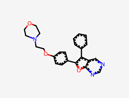 [c]1ncnc2oc(-c3ccc(OCCN4CCOCC4)cc3)c(-c3ccccc3)c12